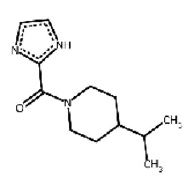 CC(C)C1CCN(C(=O)c2ncc[nH]2)CC1